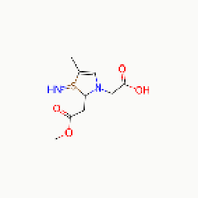 COC(=O)CC1N(CC(=O)O)C=C(C)S1=N